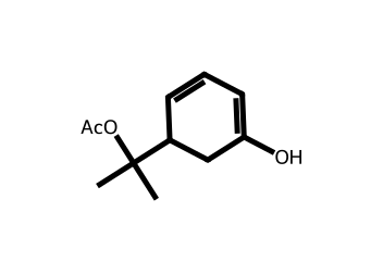 CC(=O)OC(C)(C)C1C=CC=C(O)C1